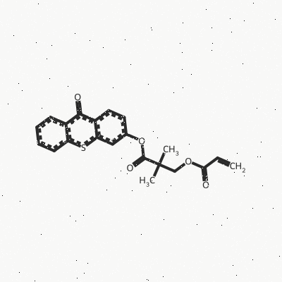 C=CC(=O)OCC(C)(C)C(=O)Oc1ccc2c(=O)c3ccccc3sc2c1